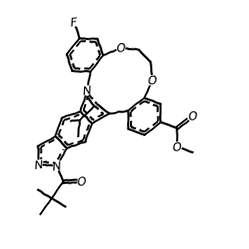 COC(=O)c1ccc2c(c1)OCCOc1cc(F)ccc1-n1c(C(C)C)c-2c2cc3c(cnn3C(=O)C(C)(C)C)cc21